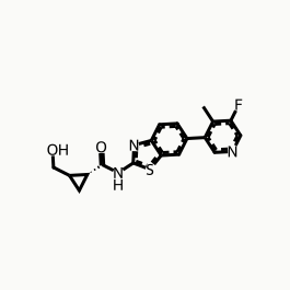 Cc1c(F)cncc1-c1ccc2nc(NC(=O)[C@@H]3CC3CO)sc2c1